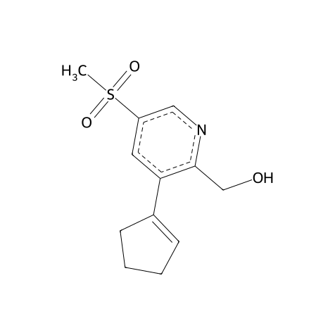 CS(=O)(=O)c1cnc(CO)c(C2=CCCC2)c1